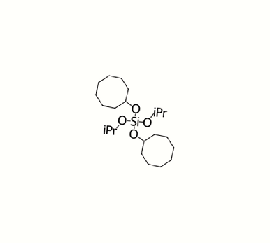 CC(C)O[Si](OC(C)C)(OC1CCCCCCC1)OC1CCCCCCC1